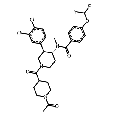 CC(=O)N1CCC(C(=O)N2CC[C@@H](N(C)C(=O)c3ccc(OC(F)F)cc3)[C@H](c3ccc(Cl)c(Cl)c3)C2)CC1